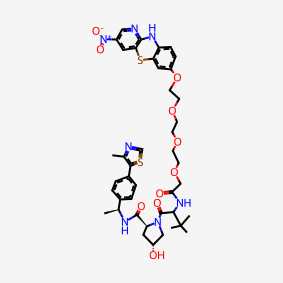 Cc1ncsc1-c1ccc([C@H](C)NC(=O)[C@@H]2C[C@@H](O)CN2C(=O)C(NC(=O)COCCOCCOCCOc2ccc3c(c2)Sc2cc([N+](=O)[O-])cnc2N3)C(C)(C)C)cc1